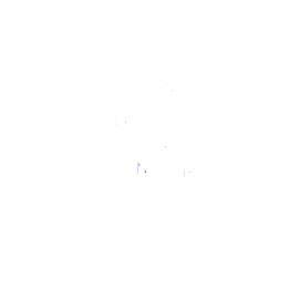 CC(C)C1(C2=CC=CC=CC2)N=C(c2ccccc2)OC1=O